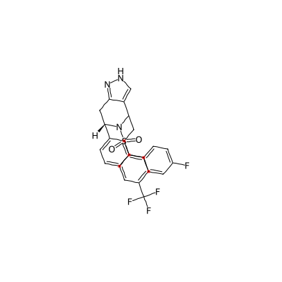 O=S(=O)(c1ccc(C(F)(F)F)cc1)N1C2Cc3c(-c4ccc(F)cc4)cccc3[C@@H]1Cc1n[nH]cc12